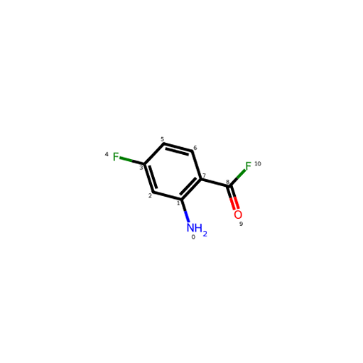 Nc1cc(F)ccc1C(=O)F